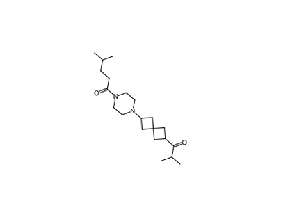 CC(C)CCC(=O)N1CCN(C2CC3(CC(C(=O)C(C)C)C3)C2)CC1